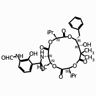 CC(C)[C@@H]1OC(=O)[C@@H](NC(=O)c2cccc(NC=O)c2O)[C@H](C)OC(=O)[C@H](C(C)C)OC(=O)C(C)(C)[C@@H](O)[C@@H](Cc2ccccc2)OC1=O